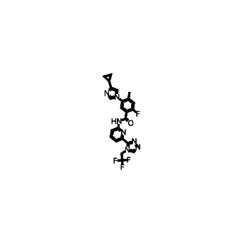 Cc1cc(F)c(C(=O)Nc2cccc(-c3nncn3CC(F)(F)F)n2)cc1-n1cnc(C2CC2)c1